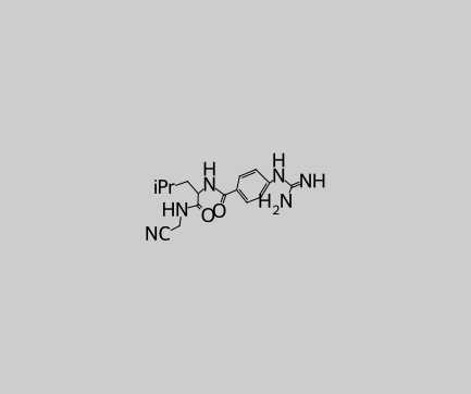 CC(C)CC(NC(=O)c1ccc(NC(=N)N)cc1)C(=O)NCC#N